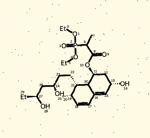 CCOP(=O)(OCC)C(C)C(=O)O[C@H]1C[C@H](O)C=C2C=C[C@H](C)[C@H](CC[C@@H](O)C[C@@H](O)CC)C21